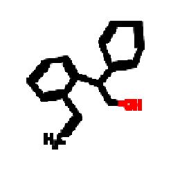 C=Cc1ccccc1C(CO)c1ccccc1